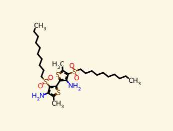 CCCCCCCCCCS(=O)(=O)c1c(C)sc(-c2sc(C)c(N)c2S(=O)(=O)CCCCCCCCCC)c1N